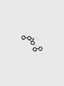 CC1(C)c2ccc(-c3ccccc3)cc2-c2ccc(Nc3cccc4oc5ccccc5c34)cc21